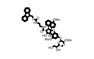 COc1ccc([C@@]23Oc4cc(O[C@@H]5O[C@@H]([C@H](O)CO)CO[C@H]5OC)cc(OC)c4[C@]2(O)[C@H](O)[C@H](C(=O)NCCNC(=O)OCC2c4ccccc4-c4ccccc42)[C@H]3c2ccccc2)cc1